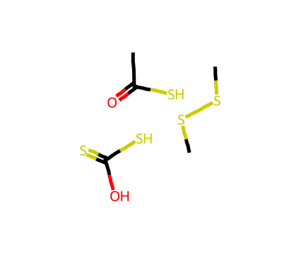 CC(=O)S.CSSC.OC(=S)S